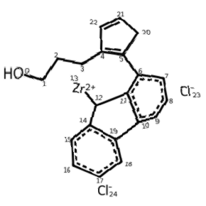 OCCCC1=C(c2cccc3c2[CH]([Zr+2])c2ccccc2-3)CC=C1.[Cl-].[Cl-]